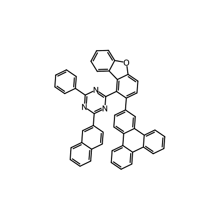 c1ccc(-c2nc(-c3ccc4ccccc4c3)nc(-c3c(-c4ccc5c6ccccc6c6ccccc6c5c4)ccc4oc5ccccc5c34)n2)cc1